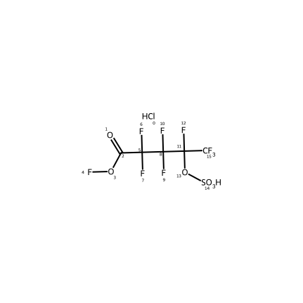 Cl.O=C(OF)C(F)(F)C(F)(F)C(F)(OS(=O)(=O)O)C(F)(F)F